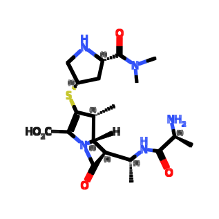 C[C@H](N)C(=O)N[C@H](C)[C@H]1C(=O)N2C(C(=O)O)=C(S[C@@H]3CN[C@H](C(=O)N(C)C)C3)[C@H](C)[C@H]12